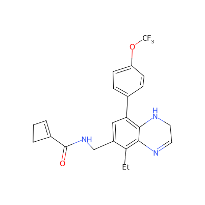 CCc1c(CNC(=O)C2=CCC2)cc(-c2ccc(OC(F)(F)F)cc2)c2c1N=CCN2